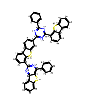 c1ccc(-c2nc(-c3ccc4c(c3)sc3c(-c5nc(-c6ccccc6)c6sc7ccccc7c6n5)cccc34)nc(-c3cccc4c3sc3ccccc34)n2)cc1